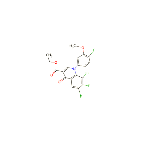 CCOC(=O)c1cn(-c2ccc(F)c(OC)c2)c2c(Cl)c(F)c(F)cc2c1=O